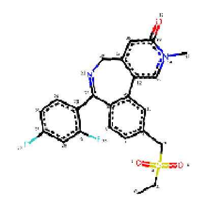 CCS(=O)(=O)Cc1ccc2c(c1)-c1cn(C)c(=O)cc1CN=C2c1ccc(F)cc1F